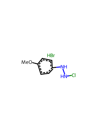 Br.COc1ccc(NNCl)cc1